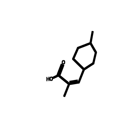 CC(=CC1CCC(C)CC1)C(=O)O